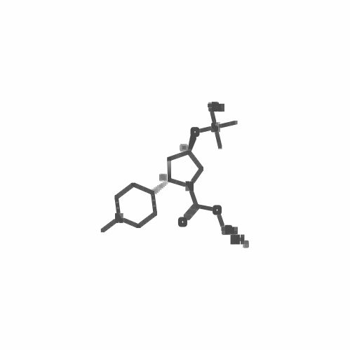 B.CN1CCC([C@@H]2C[C@@H](O[Si](C)(C)C(C)(C)C)CN2C(=O)OC(C)(C)C)CC1